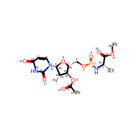 CC[C@H](N[PH](=O)OC[C@H]1O[C@@H](n2ccc(=O)[nH]c2=O)[C@@H](C)[C@@H]1OC(=O)C(C)C)C(=O)OC(C)C